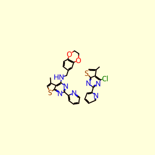 Cc1csc2nc(-c3ccccn3)nc(Cl)c12.Cc1csc2nc(-c3ccccn3)nc(NCc3ccc4c(c3)OCCO4)c12